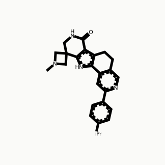 CC(C)c1ccc(-c2cc3c(cn2)CCc2c-3[nH]c3c2C(=O)NCC32CN(C)C2)cc1